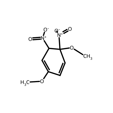 COC1=CC([N+](=O)[O-])C(OC)([N+](=O)[O-])C=C1